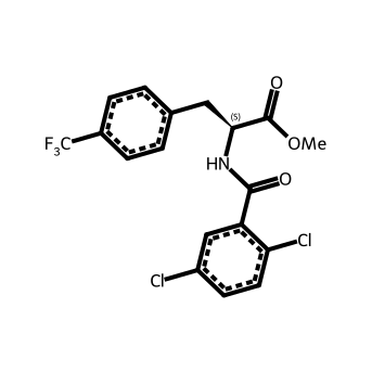 COC(=O)[C@H](Cc1ccc(C(F)(F)F)cc1)NC(=O)c1cc(Cl)ccc1Cl